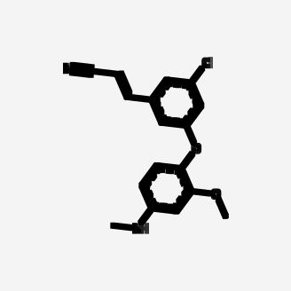 CNc1ccc(Oc2cc(Cl)cc(/C=C/C#N)c2)c(OC)c1